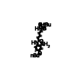 CCCCOc1ccc(NC(=O)CCCCNS(=O)(=O)C(C)(C)C)c(N)c1